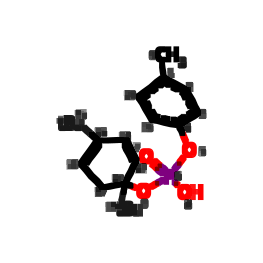 Cc1ccc(OP(=O)(O)OC2(C(C)(C)C)C=CC(C(C)(C)C)=CC2)cc1